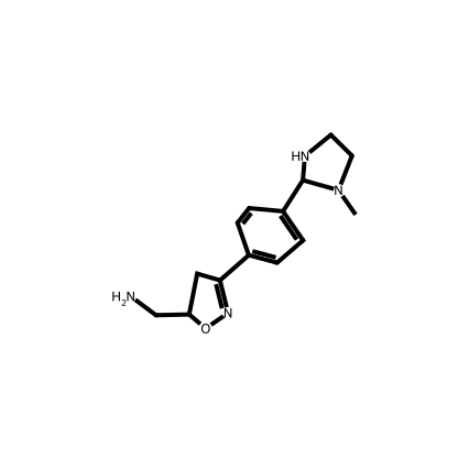 CN1CCNC1c1ccc(C2=NOC(CN)C2)cc1